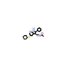 CC(=O)NCCc1c(-c2ccccc2)[nH]c2ncc(SC3C=CCCC3)cc12